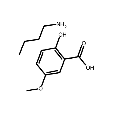 CCCCN.COc1ccc(O)c(C(=O)O)c1